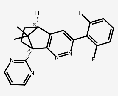 CC1(C)[C@H]2CC[C@]1(c1ncccn1)c1nnc(-c3c(F)cccc3F)cc12